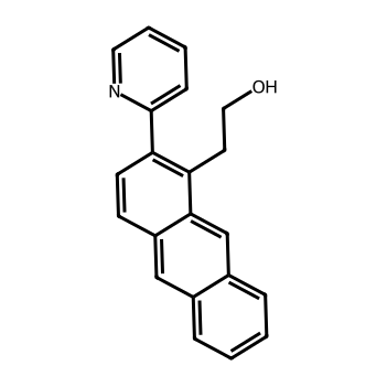 OCCc1c(-c2ccccn2)ccc2cc3ccccc3cc12